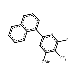 COc1nc(-c2cccc3ccccc23)nc(F)c1C(F)(F)F